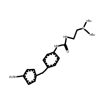 CCCCN(CCCC)CCNC(=O)Nc1ccc(Cc2ccc(NC(C)=O)cc2)cc1